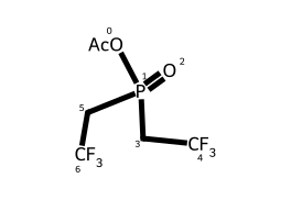 CC(=O)OP(=O)(CC(F)(F)F)CC(F)(F)F